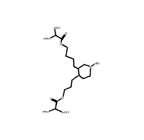 CCCCCCCCC(CCCCCC)C(=O)OCCCCC1CN(CCCC)CCC1CCCOC(=O)C(CCCCCC)CCCCCCCC